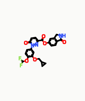 O=C(Oc1ccc2c(c1)CNC2=O)c1ccc(=O)n(-c2ccc(OC(F)F)c(OCC3CC3)c2)n1